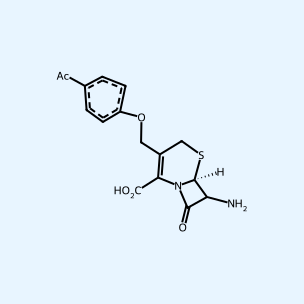 CC(=O)c1ccc(OCC2=C(C(=O)O)N3C(=O)C(N)[C@@H]3SC2)cc1